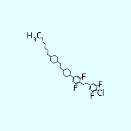 CCCCCCCC1CCC(CCC2CCC(c3cc(F)c(CCc4cc(F)c(Cl)c(F)c4)c(F)c3)CC2)CC1